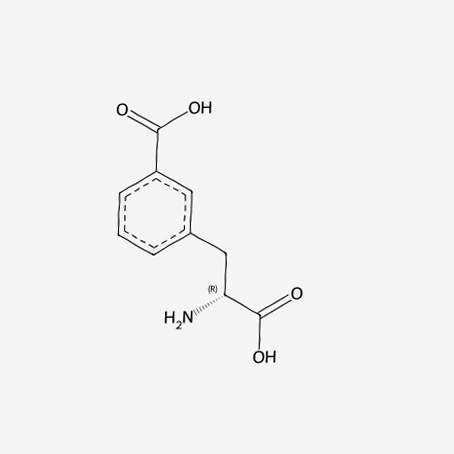 N[C@H](Cc1cccc(C(=O)O)c1)C(=O)O